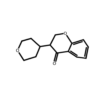 O=C1c2ccccc2OCC1C1CCOCC1